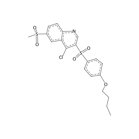 CCCCOc1ccc(S(=O)(=O)c2cnc3ccc(S(C)(=O)=O)cc3c2Cl)cc1